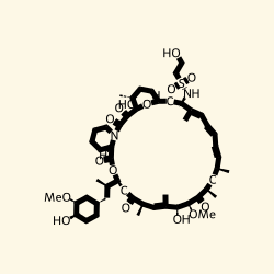 CO[C@@H]1C[C@H](C[C@@H](C)[C@@H]2CC(=O)[C@H](C)/C=C(\C)[C@@H](O)[C@@H](OC)C(=O)[C@H](C)C[C@H](C)/C=C/C=C/C=C(\C)[C@H](NS(=O)(=O)CCO)C[C@@H]3CC[C@@H](C)[C@@](O)(O3)C(=O)C(=O)N3CCCC[C@H]3C(=O)O2)CC[C@H]1O